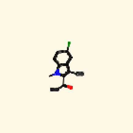 COC(=O)c1c(C=O)c2cc(F)ccc2n1C